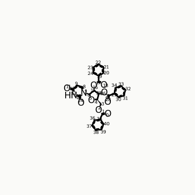 O=C(OC[C@H]1O[C@@H](n2ccc(=O)[nH]c2=O)[C@H](OC(=O)c2ccccc2)[C@H]1OC(=O)c1ccccc1)c1ccccc1